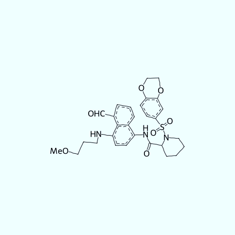 COCCCNc1ccc(NC(=O)C2CCCCN2S(=O)(=O)c2ccc3c(c2)OCCO3)c2cccc(C=O)c12